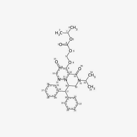 CC(C)OC(=O)OCOc1c2n(ncc1=O)C(C(c1ccccc1)c1ccccc1)CN(C(C)C)C2=O